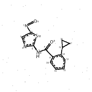 O=Nc1cnc(NC(=O)c2ccccc2C2CC2)s1